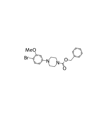 COc1cc(N2CCN(C(=O)OCc3ccccc3)CC2)ccc1Br